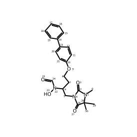 CN1C(=O)N(CC(CCOc2ccc(-c3ccccc3)cc2)N(O)C=O)C(=O)C1(C)C